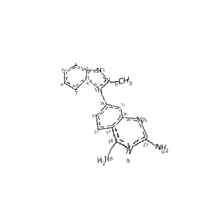 Cc1nc2ccccc2n1-c1ccc2c(N)nc(N)nc2c1